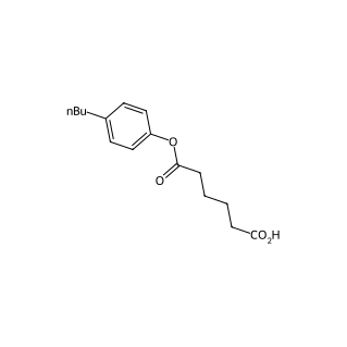 CCCCc1ccc(OC(=O)CCCCC(=O)O)cc1